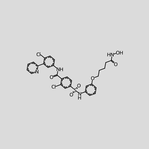 O=C(CCCCOc1cccc(NS(=O)(=O)c2ccc(C(=O)Nc3ccc(Cl)c(-c4ccccn4)c3)c(Cl)c2)c1)NO